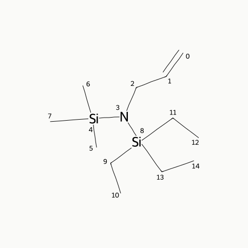 C=CCN([Si](C)(C)C)[Si](CC)(CC)CC